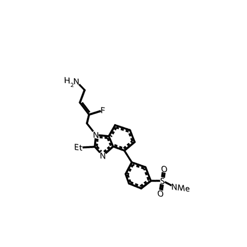 CCc1nc2c(-c3cccc(S(=O)(=O)NC)c3)cccc2n1C/C(F)=C/CN